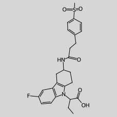 CCC(C(=O)O)n1c2c(c3cc(F)ccc31)CC(NC(=O)CCc1ccc(S(C)(=O)=O)cc1)CC2